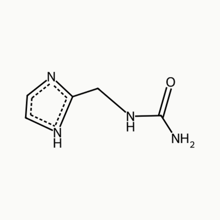 NC(=O)NCc1ncc[nH]1